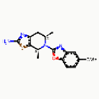 COc1ccc2oc(N3[C@H](C)Cc4nc(N)sc4[C@@H]3C)nc2c1